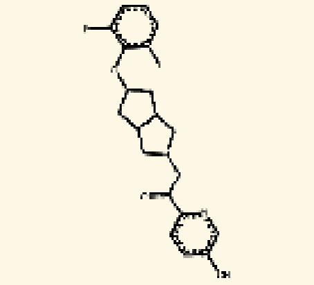 O=C(CN1CC2CC(Oc3c(F)cccc3F)CC2C1)c1ccc(O)cn1